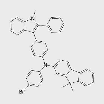 Cn1c(-c2ccccc2)c(-c2ccc(N(c3ccc(Br)cc3)c3ccc4c(c3)C(C)(C)c3ccccc3-4)cc2)c2ccccc21